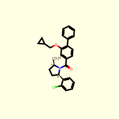 O=C(O)[C@@H]1CC[C@H](c2ccccc2Cl)N1C(=O)c1ccc(-c2ccccc2)c(OCC2CC2)c1